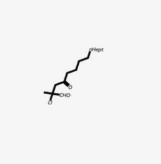 CCCCCCCCCCCC(=O)CC(C)(Cl)[C]=O